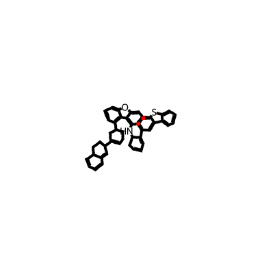 C1=CCC(Nc2cccc3oc4cccc(C5CCC=C(C6C=C7C=CC=CC7CC6)C5)c4c23)C(c2ccc3sc4ccccc4c3c2)=C1